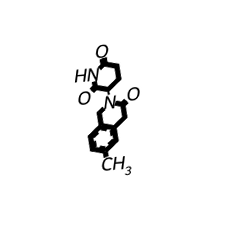 Cc1ccc2c(c1)CC(=O)N([C@H]1CCC(=O)NC1=O)C2